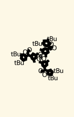 Cc1cc(C2C(=O)Oc3c2cc(C(C)(C)C)cc3C(C)(C)C)cc(C)c1OP(Oc1c(C)cc(C2C(=O)Oc3c2cc(C(C)(C)C)cc3C(C)(C)C)cc1C)Oc1c(C)cc(C2(C)C(=O)Oc3c(C(C)(C)C)cc(C(C)(C)C)cc32)cc1C